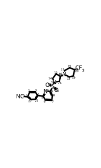 N#Cc1ccc(-c2cccc(S(=O)(=O)N3CCC(N4CCC(C(F)(F)F)CC4)C3)n2)cc1